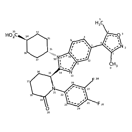 Cc1noc(C)c1-c1ccc2c(c1)nc([C@@H]1CCCC(=O)N1c1ccc(F)c(F)c1)n2[C@H]1CC[C@H](C(=O)O)CC1